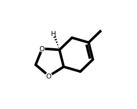 CC1=CCC2OCO[C@H]2C1